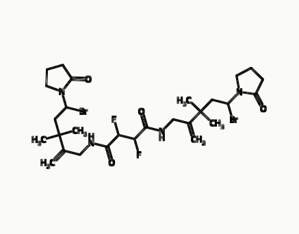 C=C(CNC(=O)C(F)C(F)C(=O)NCC(=C)C(C)(C)CC(Br)N1CCCC1=O)C(C)(C)CC(Br)N1CCCC1=O